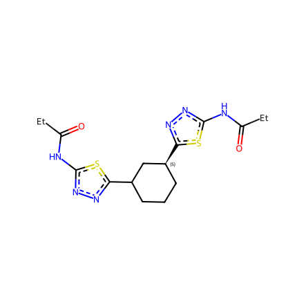 CCC(=O)Nc1nnc(C2CCC[C@H](c3nnc(NC(=O)CC)s3)C2)s1